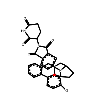 O=C1CCC(N2C(=O)c3ccc(N4C5CCC4CN(Cc4ccccc4-c4ccc(Cl)cc4)C5)cc3C2=O)C(=O)N1